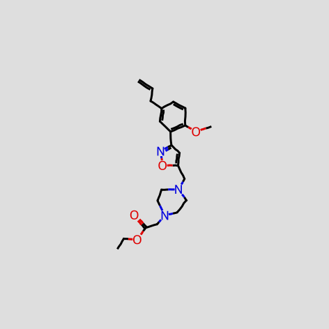 C=CCc1ccc(OC)c(-c2cc(CN3CCN(CC(=O)OCC)CC3)on2)c1